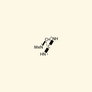 CNC.N=C=N